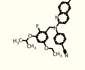 CCOc1cc(CN(c2ccc(C#N)cc2)c2ccc3cc(Cl)ccc3n2)c(F)c(OC(C)C)c1